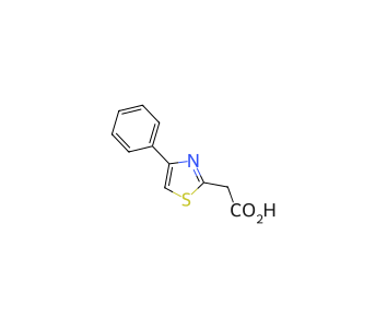 O=C(O)Cc1nc(-c2ccccc2)cs1